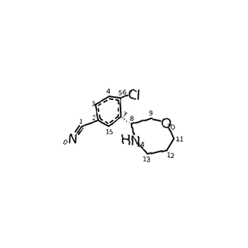 N#Cc1ccc(Cl)c([C@@H]2COCCCN2)c1